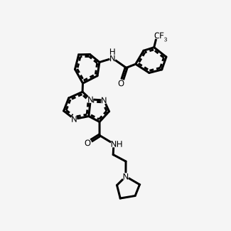 O=C(Nc1cccc(-c2ccnc3c(C(=O)NCCN4CCCC4)cnn23)c1)c1cccc(C(F)(F)F)c1